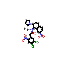 CN(C(=O)Cc1cc(Cl)c(Cl)cc1[N+](=O)[O-])C1c2cc([N+](=O)[O-])ccc2CCC1N1CCCC1